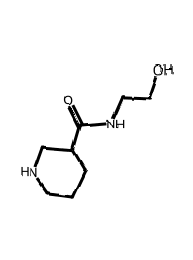 O=C(NCCO)C1CCCNC1